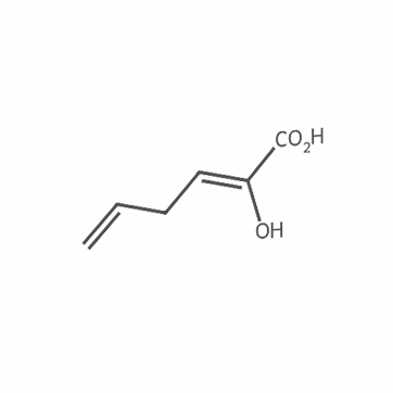 C=CC/C=C(\O)C(=O)O